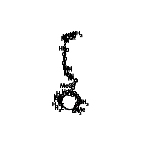 CO[C@H]1C[C@@H]2CC[C@@H](C)[C@@](O)(O2)C(=O)C(=O)N2CCCC[C@H]2C(=O)O[C@H]([C@H](N)C[C@@H]2CC[C@@H](OCc3cccc(-c4cnc(N5CCN(CC6=CN(CCOCCOCCOCCC(=O)NCCCCn7nc(-c8ccc9oc(N)nc9c8)c8c(N)ncnc87)NN6)CC5)nc4)c3)[C@H](OC)C2)CC(=O)[C@H](C)/C=C(\C)[C@@H](O)[C@@H](O)C(=O)[C@H](C)C[C@H](C)/C=C/C=C/C=C/1C